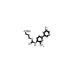 COCCCOC(=O)Nc1ccc(-c2cncc(F)c2)nc1C(F)(F)F